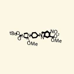 COC[C@@H]1CN(C(=O)OC(C)(C)C)CCN1C1CCC(n2cc3cc([N+](=O)[O-])c(C(=O)OC)cc3n2)CC1